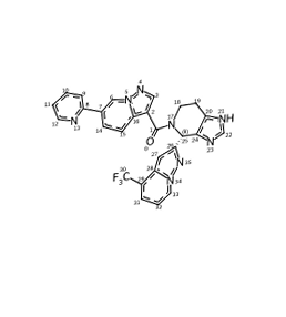 O=C(c1cnn2cc(-c3ccccn3)ccc12)N1CCc2[nH]cnc2[C@@H]1c1cc2c(C(F)(F)F)cccn2n1